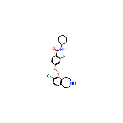 O=C(NC1CCCCC1)c1ccc(CSc2c(Cl)ccc3c2CCNCC3)cc1F